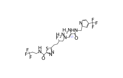 N/C(=C\N(N)CC(F)CCc1nnc(C(=O)NCCC(F)(F)F)s1)C(=O)NCc1cc(C(F)(F)F)ccn1